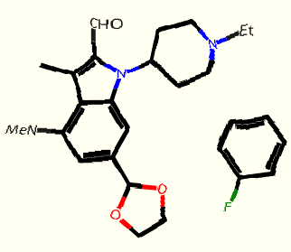 CCN1CCC(n2c(C=O)c(C)c3c(NC)cc(C4OCCO4)cc32)CC1.Fc1ccccc1